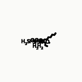 CCCCCCC[Si](C)(O[SiH2]O[SiH2]O[SiH3])C(CC)OC